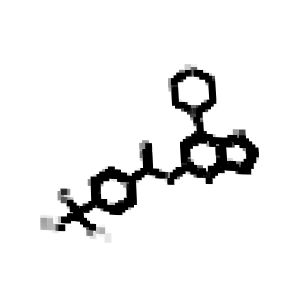 CC(C)(C)c1ccc(C(=O)Nc2cc(N3CCOCC3)n3nccc3n2)cc1